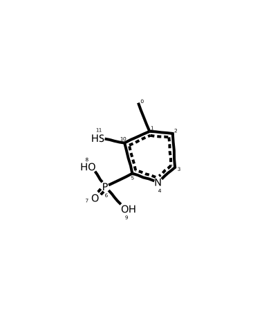 Cc1ccnc(P(=O)(O)O)c1S